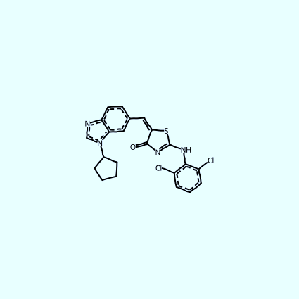 O=C1N=C(Nc2c(Cl)cccc2Cl)SC1=Cc1ccc2ncn(C3CCCC3)c2c1